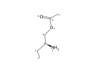 CC[C@H](N)COC(C)=O